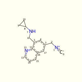 [C-]#[N+]Cc1cc(CNC2CC2)c2ncccc2c1